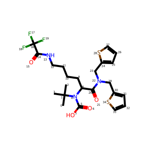 CC(C)(C)N(C(=O)O)C(CCCCNC(=O)C(F)(F)F)C(=O)N(Cc1cccs1)Cc1cccs1